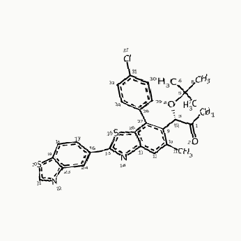 CC(=O)[C@@H](OC(C)(C)C)c1c(C)cc2nc(-c3ccc4scnc4c3)sc2c1-c1ccc(Cl)cc1